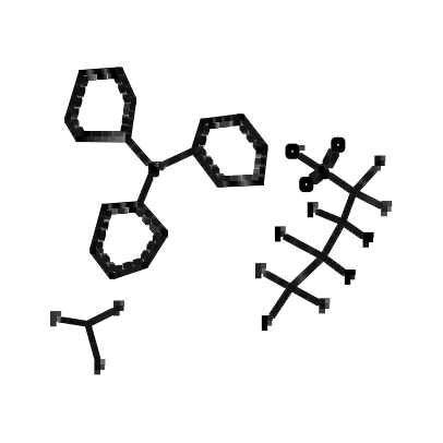 FC(F)F.O=S(=O)([O-])C(F)(F)C(F)(F)C(F)(F)C(F)(F)F.c1ccc([S+](c2ccccc2)c2ccccc2)cc1